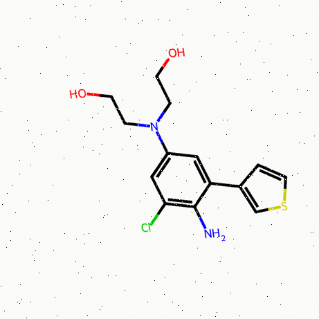 Nc1c(Cl)cc(N(CCO)CCO)cc1-c1ccsc1